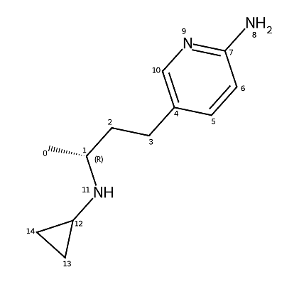 C[C@H](CCc1ccc(N)nc1)NC1CC1